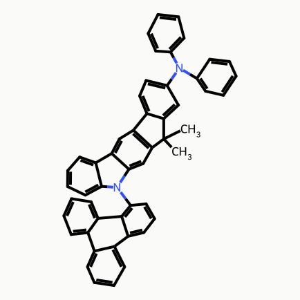 CC1(C)c2cc(N(c3ccccc3)c3ccccc3)ccc2-c2cc3c4ccccc4n(-c4cccc5c6ccccc6c6ccccc6c45)c3cc21